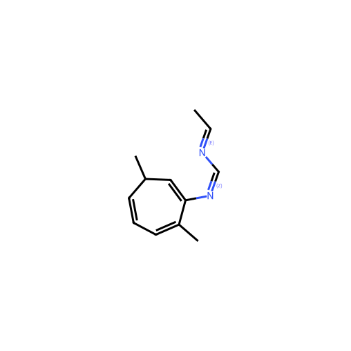 C/C=N/C=N\C1=CC(C)C=CC=C1C